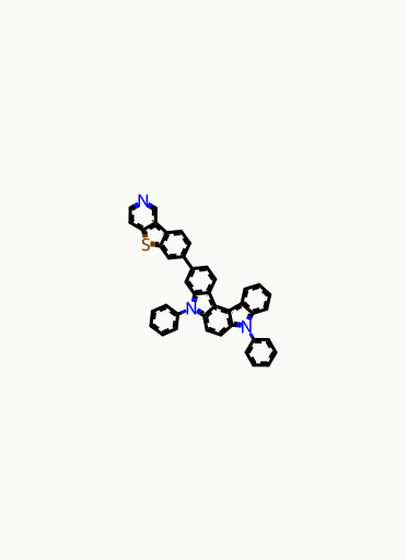 c1ccc(-n2c3ccccc3c3c4c5ccc(-c6ccc7c(c6)sc6ccncc67)cc5n(-c5ccccc5)c4ccc32)cc1